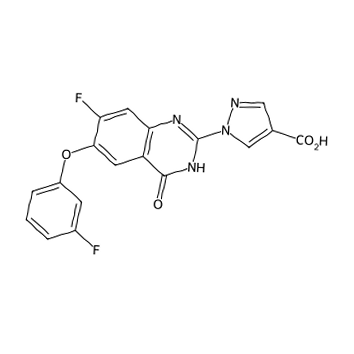 O=C(O)c1cnn(-c2nc3cc(F)c(Oc4cccc(F)c4)cc3c(=O)[nH]2)c1